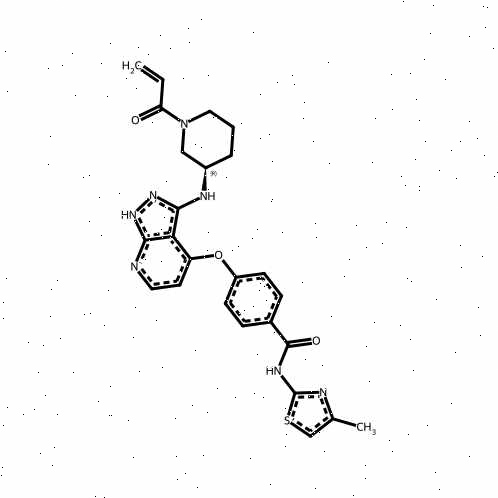 C=CC(=O)N1CCC[C@@H](Nc2n[nH]c3nccc(Oc4ccc(C(=O)Nc5nc(C)cs5)cc4)c23)C1